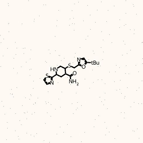 CC(C)(C)c1cnc(CSC2CNC(c3nccs3)CC2C(N)=O)o1